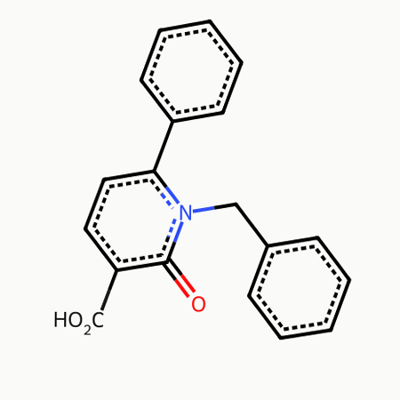 O=C(O)c1ccc(-c2ccccc2)n(Cc2ccccc2)c1=O